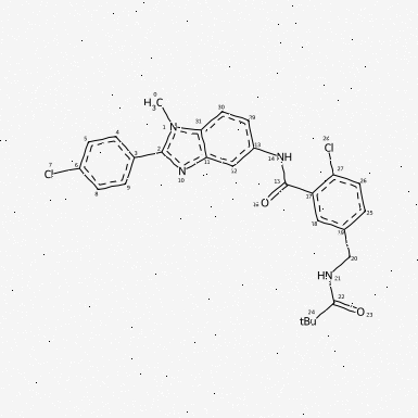 Cn1c(-c2ccc(Cl)cc2)nc2cc(NC(=O)c3cc(CNC(=O)C(C)(C)C)ccc3Cl)ccc21